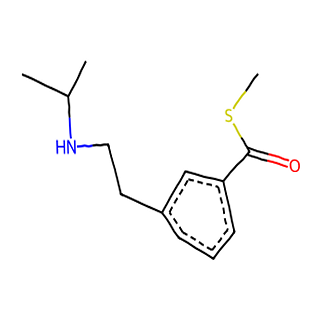 CSC(=O)c1cccc(CCNC(C)C)c1